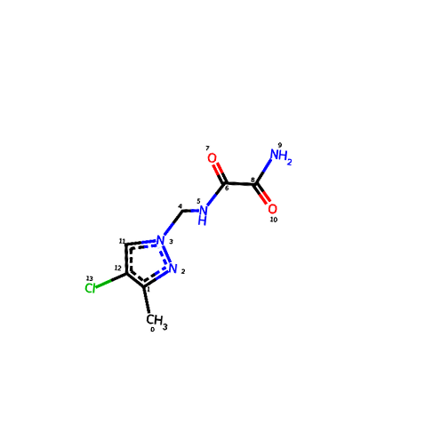 Cc1nn(CNC(=O)C(N)=O)cc1Cl